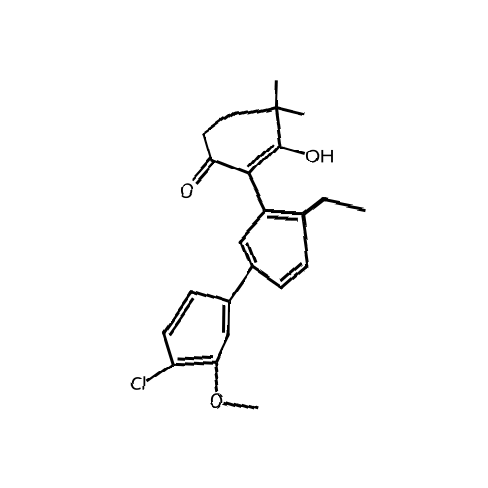 CCc1ccc(-c2ccc(Cl)c(OC)c2)cc1C1=C(O)C(C)(C)CCC1=O